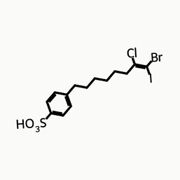 O=S(=O)(O)c1ccc(CCCCCC/C(Cl)=C(/Br)I)cc1